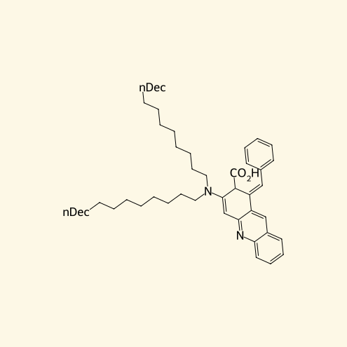 CCCCCCCCCCCCCCCCCCN(CCCCCCCCCCCCCCCCCC)C1=Cc2nc3ccccc3cc2C(=Cc2ccccc2)C1C(=O)O